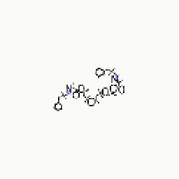 CC(COC(C)(C)CC(C)OC(C)(C)CC(C)OC(=O)C(C)/N=C/C(C)(C)Cc1ccccc1)OC(=O)C(C)/N=C/C(C)(C)Cc1ccccc1